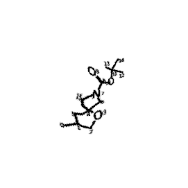 CC1COC2(C1)CN(C(=O)OC(C)(C)C)C2